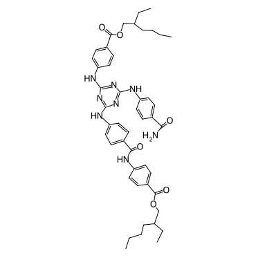 CCCCC(CC)COC(=O)c1ccc(NC(=O)c2ccc(Nc3nc(Nc4ccc(C(N)=O)cc4)nc(Nc4ccc(C(=O)OCC(CC)CCCC)cc4)n3)cc2)cc1